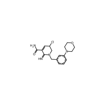 N=C1C(C(N)=O)=CC(Cl)CN1Cc1cccc(N2CCOCC2)c1